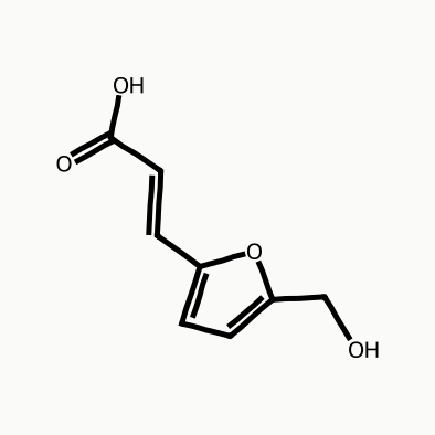 O=C(O)C=Cc1ccc(CO)o1